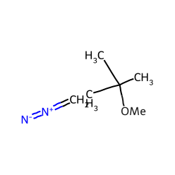 C=[N+]=[N-].COC(C)(C)C